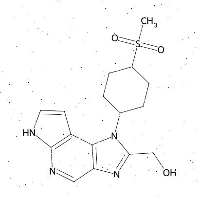 CS(=O)(=O)C1CCC(n2c(CO)nc3cnc4[nH]ccc4c32)CC1